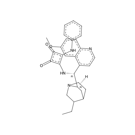 CCC1CN2CCC1C[C@@H]2[C@H](Nc1c(Nc2ccccc2)c(=O)c1=O)c1ccnc2ccc(OC)cc12